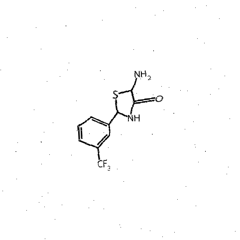 NC1SC(c2cccc(C(F)(F)F)c2)NC1=O